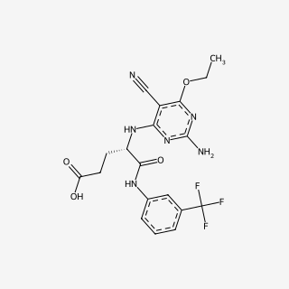 CCOc1nc(N)nc(N[C@@H](CCC(=O)O)C(=O)Nc2cccc(C(F)(F)F)c2)c1C#N